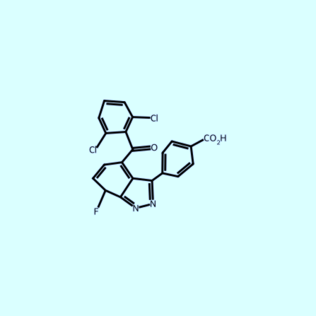 O=C(O)c1ccc(C2=NN=C3C2=C(C(=O)c2c(Cl)cccc2Cl)C=CC3F)cc1